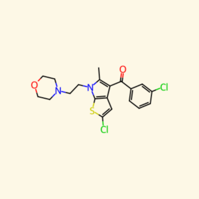 Cc1c(C(=O)c2cccc(Cl)c2)c2cc(Cl)sc2n1CCN1CCOCC1